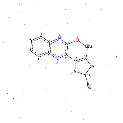 CC(C)(C)Oc1nc2ccccc2nc1C1=CCC(Br)S1